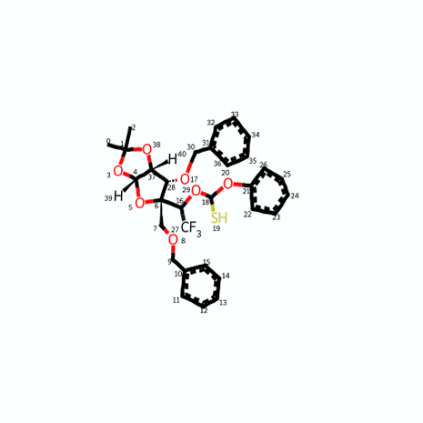 CC1(C)O[C@H]2O[C@@](COCc3ccccc3)(C(OC(S)Oc3ccccc3)C(F)(F)F)[C@@H](OCc3ccccc3)[C@H]2O1